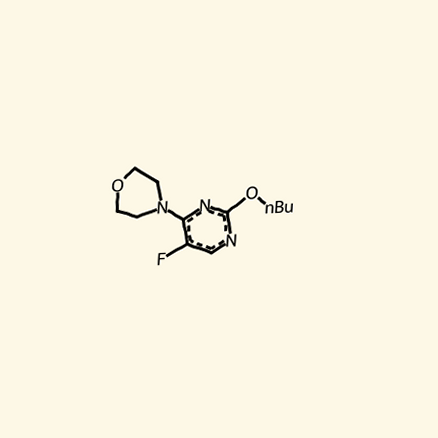 CCCCOc1ncc(F)c(N2CCOCC2)n1